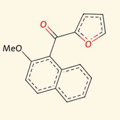 COc1ccc2ccccc2c1C(=O)c1ccco1